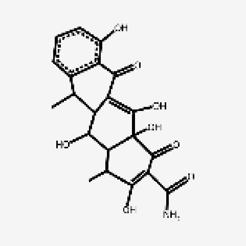 CC1C(O)=C(C(N)=O)C(=O)C2(O)C(O)=C3C(=O)c4c(O)cccc4C(C)C3C(O)C12